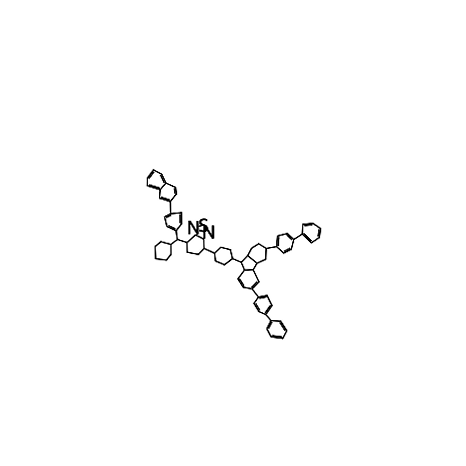 C1=CC2C(C=C1c1ccc(-c3ccccc3)cc1)C1CC(c3ccc(-c4ccccc4)cc3)CCC1C2C1CCC(C2CCC(C(c3ccc(-c4ccc5ccccc5c4)cc3)C3CCCCC3)c3nsnc32)CC1